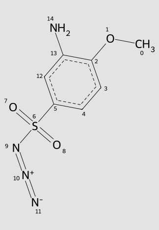 COc1ccc(S(=O)(=O)N=[N+]=[N-])cc1N